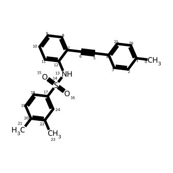 Cc1ccc(C#Cc2ccccc2NS(=O)(=O)c2ccc(C)c(C)c2)cc1